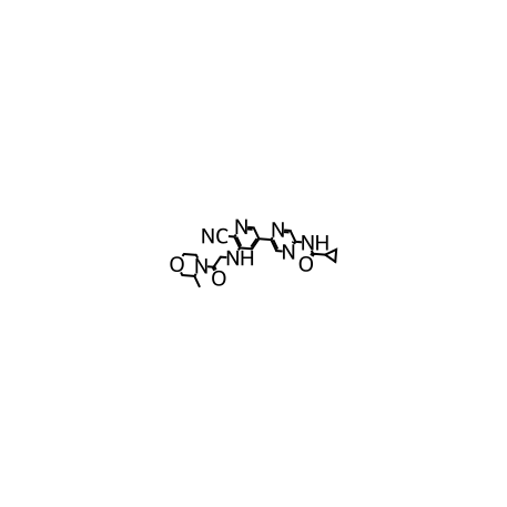 CC1COCCN1C(=O)CNc1cc(-c2cnc(NC(=O)C3CC3)cn2)cnc1C#N